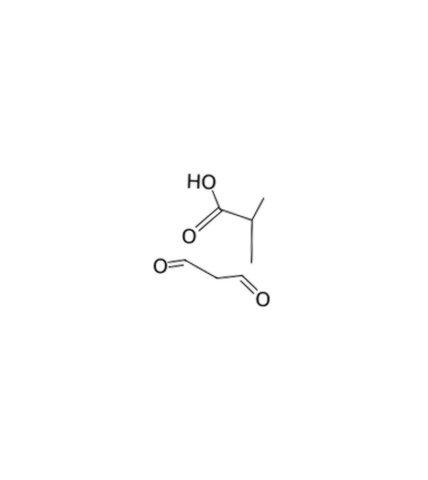 CC(C)C(=O)O.O=CCC=O